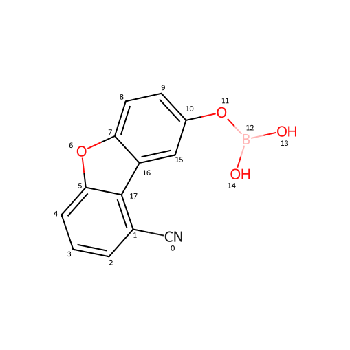 N#Cc1cccc2oc3ccc(OB(O)O)cc3c12